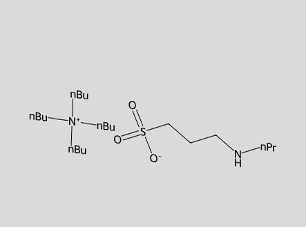 CCCC[N+](CCCC)(CCCC)CCCC.CCCNCCCS(=O)(=O)[O-]